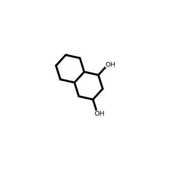 OC1CC(O)C2CCCCC2C1